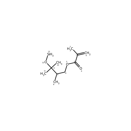 C=C(C)C(=O)OCC(C)C(C)(C)O[SiH3]